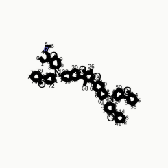 C=Cc1c(/C=C\C)oc2ccc(N(c3ccc4cc5c(cc4c3)oc3c(C)c4oc6cc7cc(N(c8ccc9oc%10ccccc%10c9c8)c8ccc9oc%10ccccc%10c9c8)ccc7cc6c4c(C)c35)c3ccc4oc5ccccc5c4c3)cc12